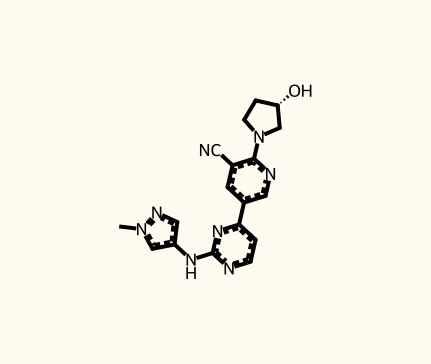 Cn1cc(Nc2nccc(-c3cnc(N4CC[C@H](O)C4)c(C#N)c3)n2)cn1